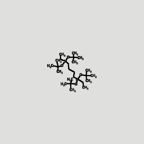 CC[Si](CCCC[Si](CC)(OC(C)(C)C)OC(C)(C)C)(OC(C)(C)C)OC(C)(C)C